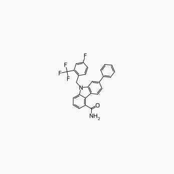 NC(=O)c1cccc2c1c1[c]cc(-c3ccccc3)cc1n2Cc1ccc(F)cc1C(F)(F)F